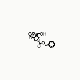 CO/N=C1/CN(C(=O)OCc2ccccc2)CC1(C#N)CO